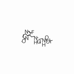 COc1ccc2ncc(F)c(CCNC[C@H](CNC(=O)OC(C)(C)C)OC)c2n1